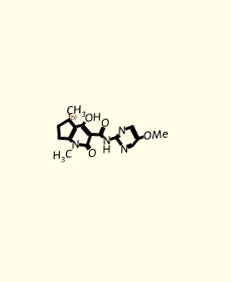 COc1cnc(NC(=O)c2c(O)c3c(n(C)c2=O)CC[C@@H]3C)nc1